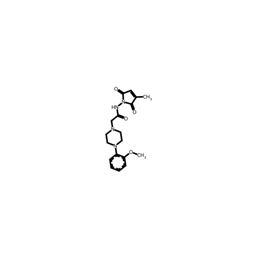 COc1ccccc1N1CCN(CC(=O)NN2C(=O)C=C(C)C2=O)CC1